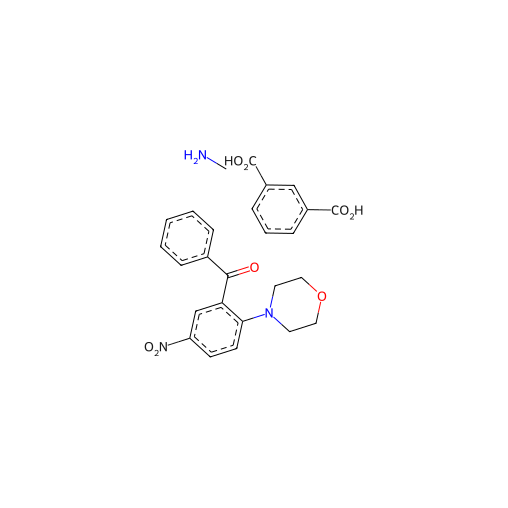 CN.O=C(O)c1cccc(C(=O)O)c1.O=C(c1ccccc1)c1cc([N+](=O)[O-])ccc1N1CCOCC1